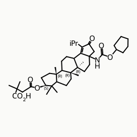 CC(C)C1=C2C3CCC4[C@@]5(C)CC[C@H](OC(=O)CC(C)(C)C(=O)O)C(C)(C)C5CC[C@@]4(C)[C@]3(C)CCC2(NC(=O)OC2CCCCC2)CC1=O